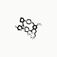 Cc1cc(CCCN)c(C(=O)N2CCN(c3ccc(F)cn3)C[C@@H]2C)cc1CN1CCN(c2ccccc2C#N)CC1